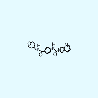 O=C(NCC1CCOCC1)c1ccc(NC(=O)N2Cc3cccnc3C2)cc1